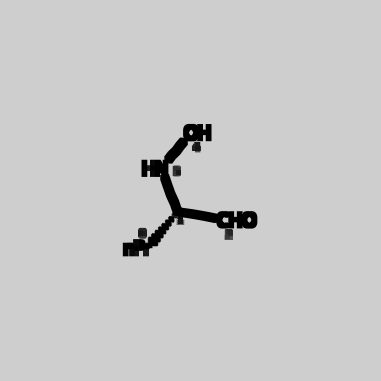 CCC[C@@H](C=O)NO